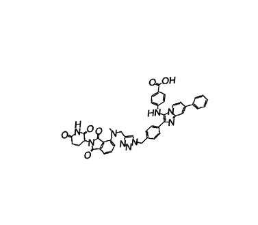 CN(Cc1cn(Cc2ccc(-c3nc4cc(-c5ccccc5)ccn4c3Nc3ccc(C(=O)O)cc3)cc2)nn1)c1cccc2c1C(=O)N(C1CCC(=O)NC1=O)C2=O